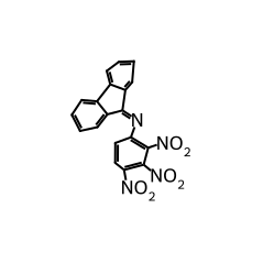 O=[N+]([O-])c1ccc(N=C2c3ccccc3-c3ccccc32)c([N+](=O)[O-])c1[N+](=O)[O-]